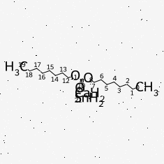 CCCCCCCCOC(=O)OCCCCCCCC.[CaH2].[SnH2]